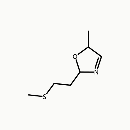 CSCCC1N=CC(C)O1